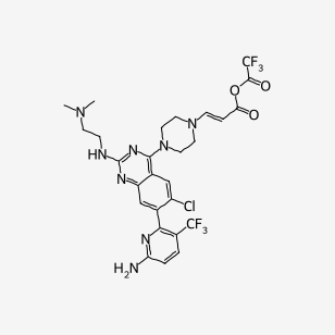 CN(C)CCNc1nc(N2CCN(C=CC(=O)OC(=O)C(F)(F)F)CC2)c2cc(Cl)c(-c3nc(N)ccc3C(F)(F)F)cc2n1